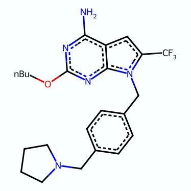 CCCCOc1nc(N)c2cc(C(F)(F)F)n(Cc3ccc(CN4CCCC4)cc3)c2n1